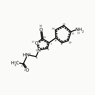 CC(=O)NCn1cc(-c2ccc(N)cc2)c(=O)o1